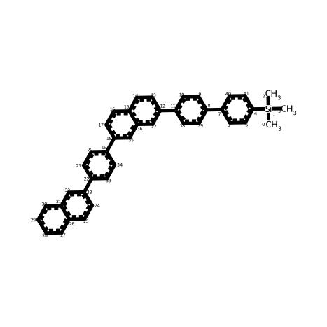 C[Si](C)(C)c1ccc(-c2ccc(-c3ccc4ccc(-c5ccc(-c6ccc7ccccc7c6)cc5)cc4c3)cc2)cc1